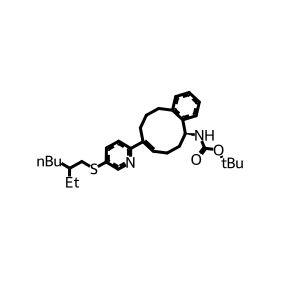 CCCCC(CC)CSc1ccc(/C2=C/CC[C@H](NC(=O)OC(C)(C)C)c3ccccc3CCC2)nc1